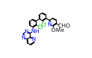 COc1nc(-c2cccc(-c3cccc(Nc4ncnc5cccnc45)c3Cl)c2Cl)ccc1C=O